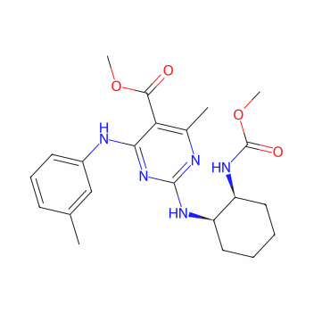 COC(=O)N[C@H]1CCCC[C@H]1Nc1nc(C)c(C(=O)OC)c(Nc2cccc(C)c2)n1